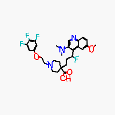 COc1ccc2ncc(N(C)C)c(C(F)CCC3(C(=O)O)CCN(CCOc4cc(F)c(F)c(F)c4)CC3)c2c1